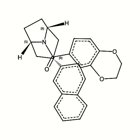 O=C(c1ccc2c(c1)OCCO2)N1[C@@H]2CC[C@H]1C[C@@H](c1ccc3ccccc3c1)C2